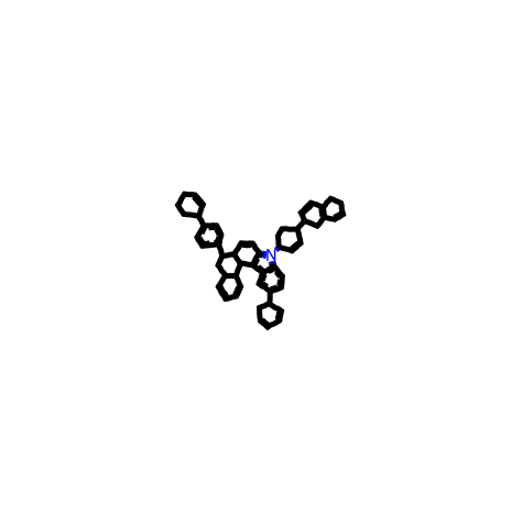 C1=CCC(c2ccc3c(c2)c2c(n3C3C=CC(C4C=CC5=C(C=CCC5)C4)CC3)C=CC3C(c4ccc(C5C=CCCC5)cc4)CC4C=CC=CC4C23)C=C1